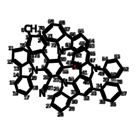 Cc1ccc(-c2c(-n3c4ccccc4c4ccccc43)c(C#N)c(-n3c4ccccc4c4cc(-c5ccccc5)c5c(c6ccccc6n5-c5ccccc5)c43)c(C#N)c2-n2c3ccccc3c3ccccc32)cc1